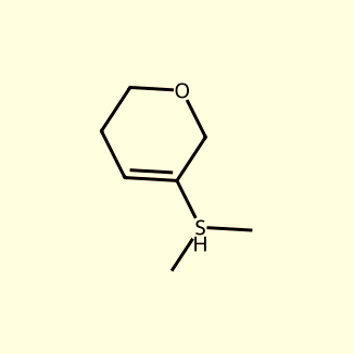 C[SH](C)C1=CCCOC1